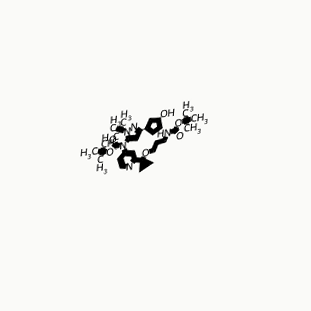 CC(C)(C)OC(=O)NCCCOC1(c2cc(N(C(=O)OC(C)(C)C)c3cc([C@H]4CC[C@@H](O)C4)nn3C(C)(C)C)ccn2)CC1